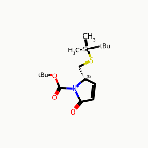 CC(C)(C)OC(=O)N1C(=O)C=C[C@H]1CS[Si](C)(C)C(C)(C)C